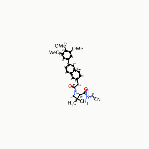 COc1cc(-c2ccc3cc(CC(=O)N4CC(C)(C)C4C(=O)NCC#N)ccc3c2)cc(OC)c1OC